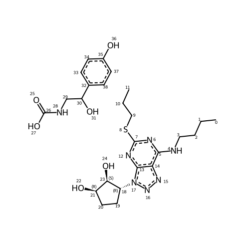 CCCCNc1nc(SCCC)nc2c1nnn2[C@@H]1CC[C@@H](O)[C@H]1O.O=C(O)NCC(O)c1ccc(O)cc1